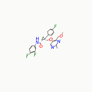 COCc1nc(C)ncc1OC[C@@]1(C2C=CC(F)=CC2)C[C@H]1C(=O)Nc1ccc(F)c(F)c1